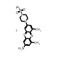 Cc1cc(N)cc2[s+]c3cc(N4CCN(S(=O)(=O)C(C)C)CC4)cc(C)c3nc12.[I-]